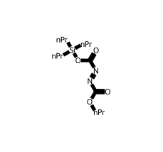 CCCOC(=O)N=NC(=O)O[Si](CCC)(CCC)CCC